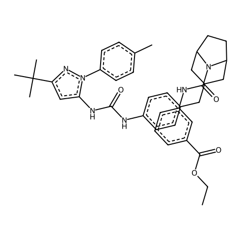 CCOC(=O)c1cccc(NC(=O)N2C3CCC2CC(Cc2ccc(NC(=O)Nc4cc(C(C)(C)C)nn4-c4ccc(C)cc4)cc2)C3)c1